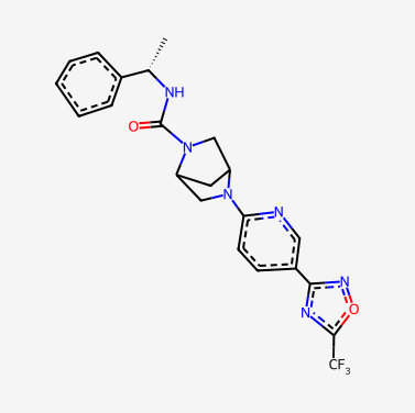 C[C@H](NC(=O)N1CC2CC1CN2c1ccc(-c2noc(C(F)(F)F)n2)cn1)c1ccccc1